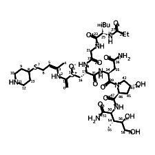 C=C(N/C(C)=C\CSC1CCNCC1)[S+]([O-])C[C@H](NC(=O)CNC(=O)[C@@H](NC(=O)CC)[C@@H](C)CC)C(=O)N[C@@H](CC(N)=O)C(=O)N1C[C@H](O)C[C@H]1C(=O)N[C@H](C(N)=O)[C@@H](C)[C@@H](O)CO